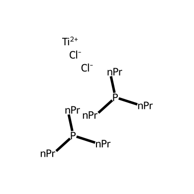 CCCP(CCC)CCC.CCCP(CCC)CCC.[Cl-].[Cl-].[Ti+2]